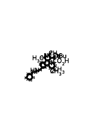 Cc1nc(C)c(C(OC(C)(C)C)C(=O)O)c(N2CCC(C)(C)CC2)c1-c1ccc(CNCCC2CCCCC2)cc1